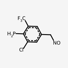 O=NCc1cc(Cl)c(P)c(C(F)(F)F)c1